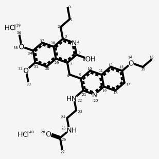 CCCc1nc(O)c(Cc2cc3cc(OCC)ccc3nc2NCCNC(C)=O)c2cc(OC)c(OC)cc12.Cl.Cl